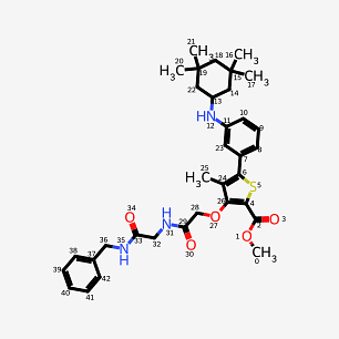 COC(=O)c1sc(-c2cccc(NC3CC(C)(C)CC(C)(C)C3)c2)c(C)c1OCC(=O)NCC(=O)NCc1ccccc1